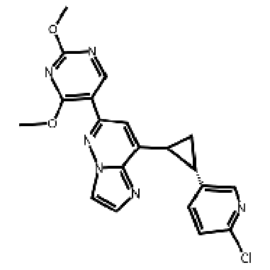 COc1ncc(-c2cc(C3C[C@@H]3c3ccc(Cl)nc3)c3nccn3n2)c(OC)n1